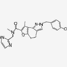 Cc1c(C(=O)N(C)Cc2ncc[nH]2)oc2c1-c1nn(Cc3ccc(Cl)cc3)cc1CC2